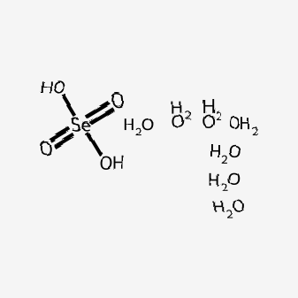 O.O.O.O.O.O.O.O=[Se](=O)(O)O